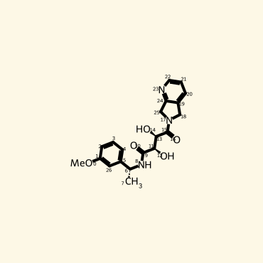 COc1cccc([C@@H](C)NC(=O)[C@H](O)[C@@H](O)C(=O)N2Cc3cccnc3C2)c1